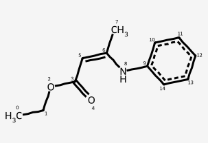 CCOC(=O)/C=C(/C)Nc1ccccc1